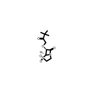 CC(C)(C)C(=O)CO[C@H]1C(=O)N2CCS(=O)(=O)[C@@H]12